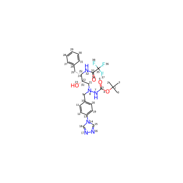 CC(C)(C)OC(=O)NN(Cc1ccc(-n2cnnc2)cc1)C[C@H](O)[C@H](Cc1ccccc1)NC(=O)C(F)(F)F